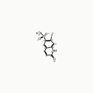 NS(=O)(=O)c1cc2c[c]c(=O)[nH]c2cc1F